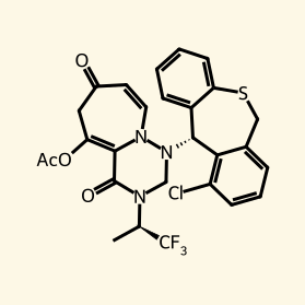 CC(=O)OC1=C2C(=O)N([C@H](C)C(F)(F)F)CN([C@@H]3c4ccccc4SCc4cccc(Cl)c43)N2C=CC(=O)C1